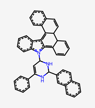 C1=CC2=c3c(c4ccccc4n3C3C=C(c4ccccc4)NC(c4ccc5ccccc5c4)N3)=C3c4ccccc4C=CC3C2C=C1